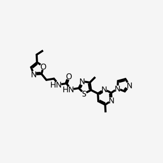 CCc1cnc(CCNC(=O)Nc2nc(C)c(-c3cc(C)nc(-n4ccnc4)n3)s2)o1